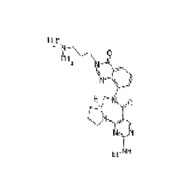 CCNc1ncc2c(n1)N1CCC[C@H]1CN(c1cccc3c(=O)n(CCCN(C)C)cnc13)C2=O